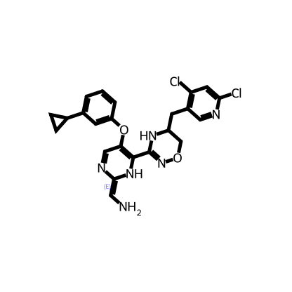 N/C=C1/N=CC(Oc2cccc(C3CC3)c2)=C(C2=NOCC(Cc3cnc(Cl)cc3Cl)N2)N1